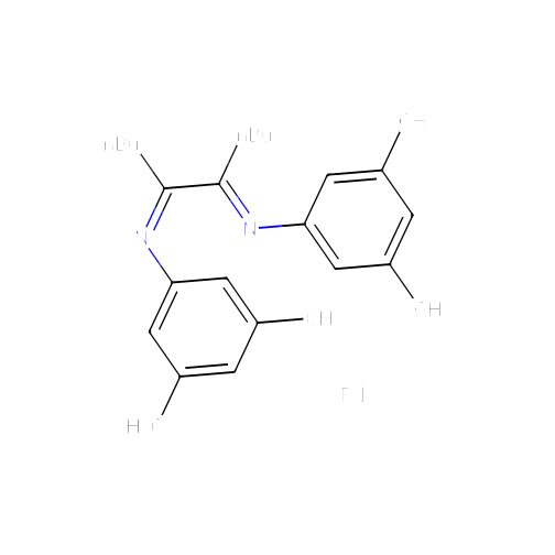 CCCCC(=Nc1cc(C)cc(C)c1)C(CCCC)=Nc1cc(C)cc(C)c1.[Pd]